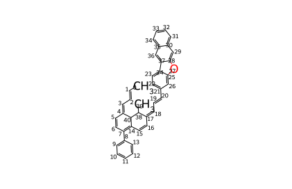 C/C=C/C=C1/C=CC(c2ccccc2)=C2C=C/C(=C/C=C/c3ccc4c(c3)oc3cc5ccccc5cc34)C(C)C21